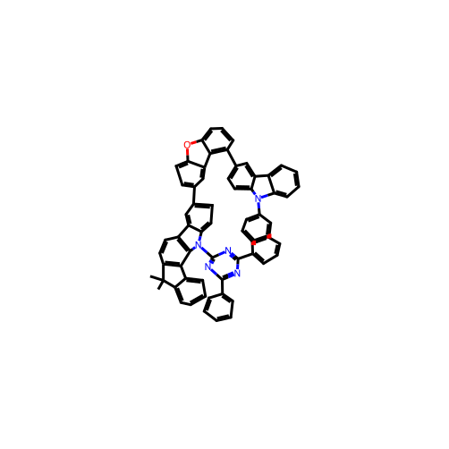 CC1(C)c2ccccc2-c2c1ccc1c3cc(-c4ccc5oc6cccc(-c7ccc8c(c7)c7ccccc7n8-c7ccccc7)c6c5c4)ccc3n(-c3nc(-c4ccccc4)nc(-c4ccccc4)n3)c21